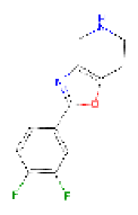 Fc1ccc(-c2nc3c(o2)CCNC3)cc1F